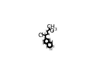 CC(=O)CCC(Cl)c1ccc2ccccc2c1